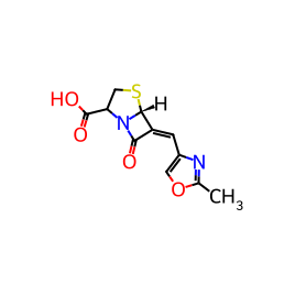 Cc1nc(C=C2C(=O)N3C(C(=O)O)CS[C@H]23)co1